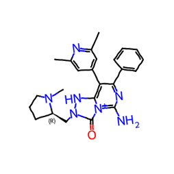 Cc1cc(-c2c(-c3ccccc3)nc(N)[n+]3c(=O)n(C[C@H]4CCCN4C)[nH]c23)cc(C)n1